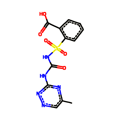 Cc1cnnc(NC(=O)NS(=O)(=O)c2ccccc2C(=O)O)n1